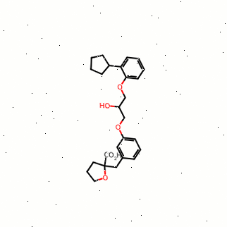 O=C(O)C1(Cc2cccc(OCC(O)COc3ccccc3C3CCCC3)c2)CCCO1